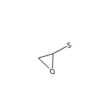 [S]C1CO1